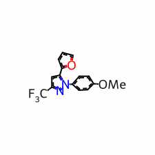 COc1ccc(-n2nc(C(F)(F)F)cc2-c2ccco2)cc1